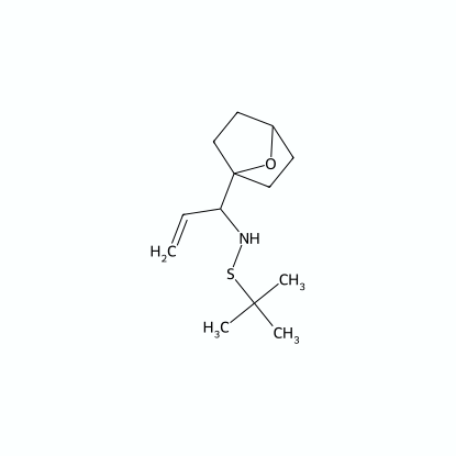 C=CC(NSC(C)(C)C)C12CCC(CC1)O2